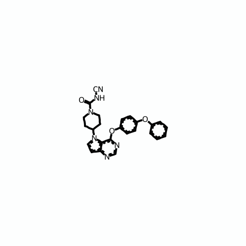 N#CNC(=O)N1CCC(n2ccc3ncnc(Oc4ccc(Oc5ccccc5)cc4)c32)CC1